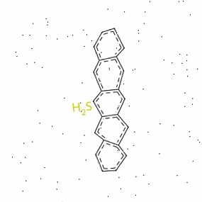 S.c1ccc2cc3cc4cc5ccccc5cc4cc3cc2c1